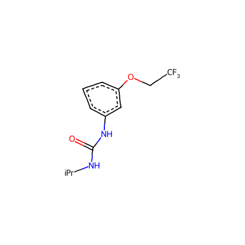 CC(C)NC(=O)Nc1cccc(OCC(F)(F)F)c1